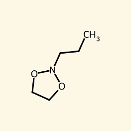 CCCN1OCCO1